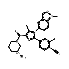 Cc1c(C(=O)N2CCC[C@@H](N)C2)nc(-c2ccc(C#N)c(F)c2)n1-c1ccc2c(cnn2C)c1